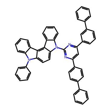 c1ccc(-c2ccc(-c3cc(-c4cccc(-c5ccccc5)c4)nc(-n4c5ccccc5c5c6c7ccccc7n(-c7ccccc7)c6ccc54)n3)cc2)cc1